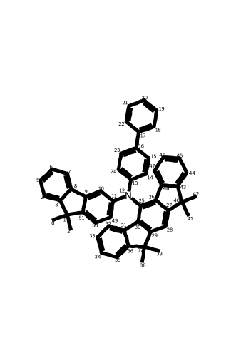 CC1(C)c2ccccc2-c2cc(N(c3ccc(-c4ccccc4)cc3)c3c4c(cc5c3-c3ccccc3C5(C)C)C(C)(C)c3ccccc3-4)ccc21